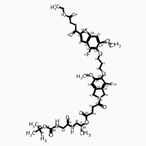 CCOC(=O)CCC(=O)c1cc2c(F)c(OCCCOc3c(OC)cc4c(c3F)CN(C(=O)CCC(=O)O[C@@H](C)CNC(=O)CNC(=O)OC(C)(C)C)C4)c(OC)cc2s1